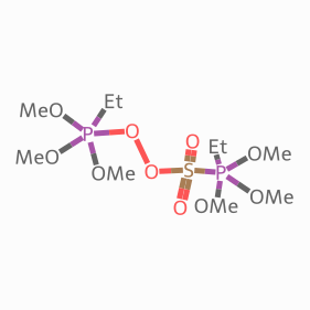 CCP(OC)(OC)(OC)OOS(=O)(=O)P(CC)(OC)(OC)OC